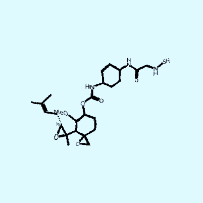 COC1C(OC(=O)NC2CCC(NC(=O)CNS)CC2)CCC2(CO2)C1C1(C)O[C@@H]1CC=C(C)C